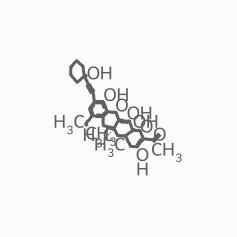 CC(=O)C1=C(O)C[C@@]2(C)C[C@@]3(C)Cc4c(C(C)C)cc(C#CC5(O)CCCCC5)c(O)c4C(=O)C3=C(O)[C@@]2(O)C1=O